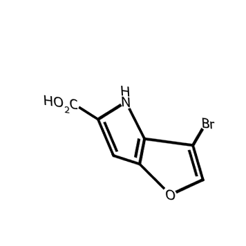 O=C(O)c1cc2occ(Br)c2[nH]1